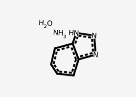 N.O.c1ccc2[nH]nnc2c1